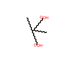 CCCCCCCCCC(CCCCCCCCC(=O)O)C(CCCCCCCC)CCCCCCCCC(=O)O